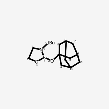 CC(C)(C)N1CCOP1OC12CC3CC(CC(C3)C1)C2